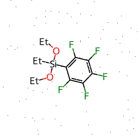 CCO[Si](CC)(OCC)c1c(F)c(F)c(F)c(F)c1F